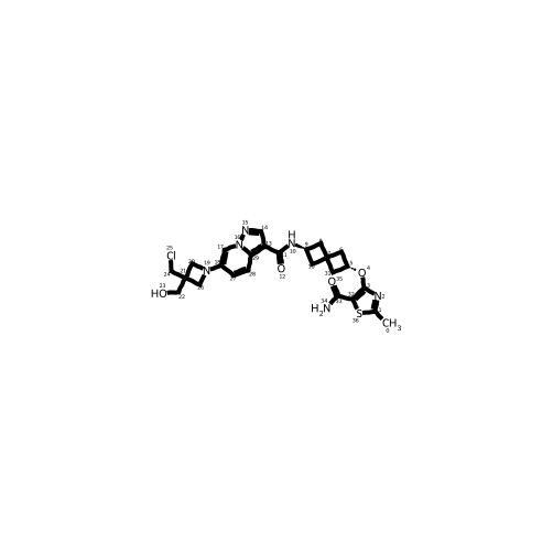 Cc1nc(O[C@H]2CC3(C[C@H](NC(=O)c4cnn5cc(N6CC(CO)(CCl)C6)ccc45)C3)C2)c(C(N)=O)s1